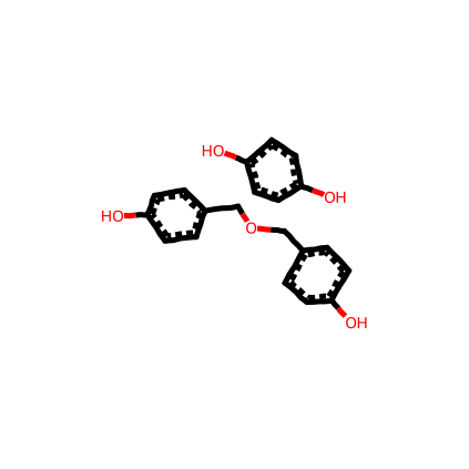 Oc1ccc(COCc2ccc(O)cc2)cc1.Oc1ccc(O)cc1